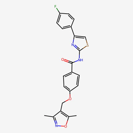 Cc1noc(C)c1COc1ccc(C(=O)Nc2nc(-c3ccc(F)cc3)cs2)cc1